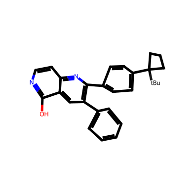 CC(C)(C)C1(c2ccc(-c3nc4ccnc(O)c4cc3-c3ccccc3)cc2)CCC1